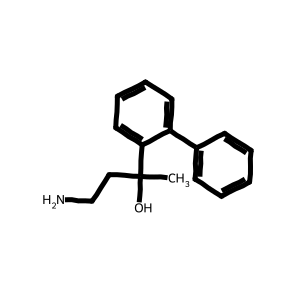 CC(O)(CCN)c1ccccc1-c1ccccc1